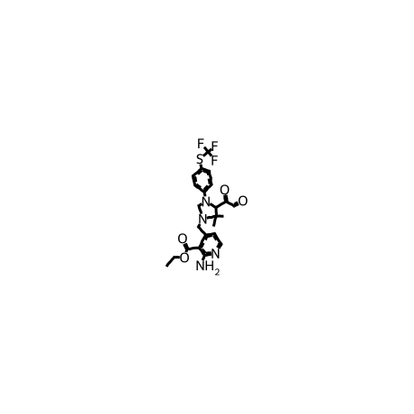 CCOC(=O)c1c(CN2CN(c3ccc(SC(F)(F)F)cc3)C(C(=O)C=O)C2(C)C)ccnc1N